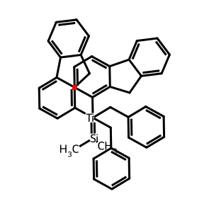 C[Si](C)=[Ti]([CH2]c1ccccc1)([CH2]c1ccccc1)([c]1cccc2c1Cc1ccccc1-2)[c]1cccc2c1Cc1ccccc1-2